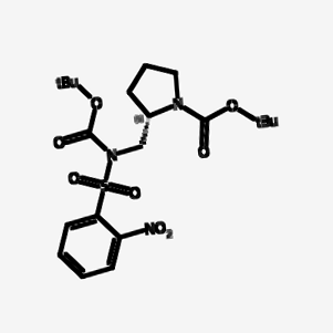 CC(C)(C)OC(=O)N1CCC[C@H]1CN(C(=O)OC(C)(C)C)S(=O)(=O)c1ccccc1[N+](=O)[O-]